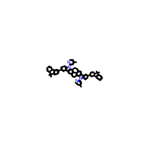 Cc1ccnc(-n2c3ccc(-c4ccc5c(c4)-c4ccccc4C5(C)C)cc3c3cc4c5c(c32)CCc2cc3c6cc(-c7ccc8c(c7)C7C=CC=CC7C8(C)C)ccc6n(-c6cc(C)ccn6)c3c(c2-5)CC4)c1